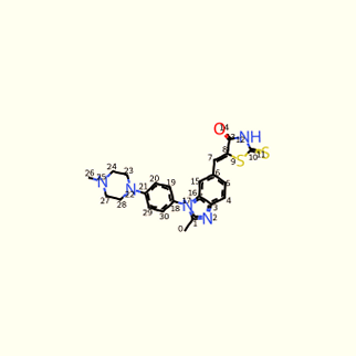 Cc1nc2ccc(/C=C3\SC(=S)NC3=O)cc2n1-c1ccc(N2CCN(C)CC2)cc1